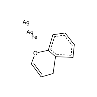 C1=COc2ccccc2C1.[Ag].[Ag].[Fe]